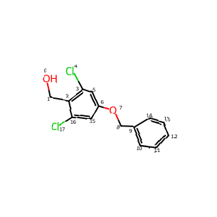 OCc1c(Cl)cc(OCc2ccccc2)cc1Cl